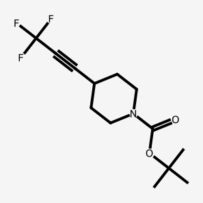 CC(C)(C)OC(=O)N1CCC(C#CC(F)(F)F)CC1